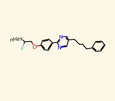 CCCCCCC(F)COc1ccc(-c2ncc(CCCCc3ccccc3)cn2)cc1